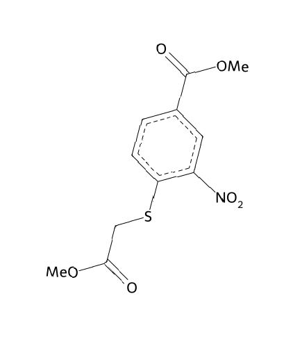 COC(=O)CSc1ccc(C(=O)OC)cc1[N+](=O)[O-]